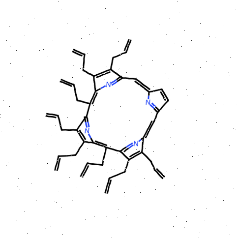 C=CCC1=C(CC=C)C2=NC1=CC1=NC(=CC3=NC(=C(CC=C)C4=NC(=C2CC=C)C(CC=C)=C4CC=C)C(CC=C)=C3CC=C)C=C1